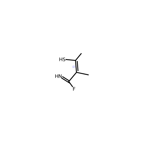 C/C(S)=C(\C)C(=N)F